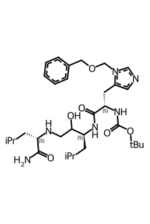 CC(C)C[C@H](NCC(O)[C@H](CC(C)C)NC(=O)[C@H](Cc1cncn1COCc1ccccc1)NC(=O)OC(C)(C)C)C(N)=O